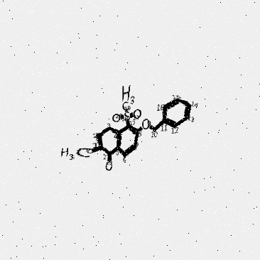 CC1CCc2c(ccc(OCc3ccccc3)c2S(C)(=O)=O)C1=O